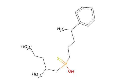 CC(CCCP(O)(=S)CC(CCC(=O)O)C(=O)O)c1ccccc1